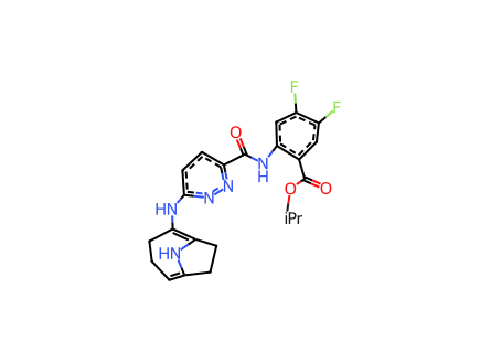 CC(C)OC(=O)c1cc(F)c(F)cc1NC(=O)c1ccc(NC2=C3CCC(=CCC2)N3)nn1